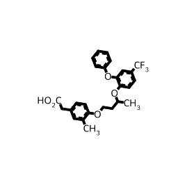 Cc1cc(CC(=O)O)ccc1OCCC(C)Oc1ccc(C(F)(F)F)cc1Oc1ccccc1